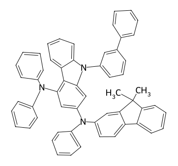 CC1(C)c2ccccc2-c2ccc(N(c3ccccc3)c3cc(N(c4ccccc4)c4ccccc4)c4c5ccccc5n(-c5cccc(-c6ccccc6)c5)c4c3)cc21